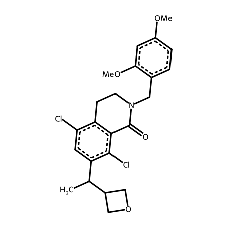 COc1ccc(CN2CCc3c(Cl)cc(C(C)C4COC4)c(Cl)c3C2=O)c(OC)c1